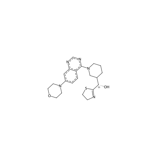 O[C@H](C1=NCCS1)C1CCCN(c2ncnc3cc(N4CCOCC4)ccc23)C1